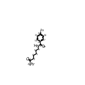 CC(C)C(=O)CCCCCNC(=O)c1ccc(I)cc1